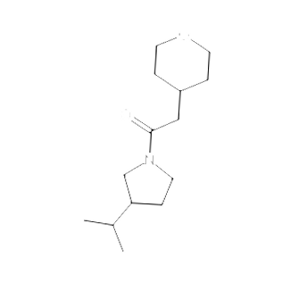 CC(C)C1CCN(C(=O)CC2CCOCC2)C1